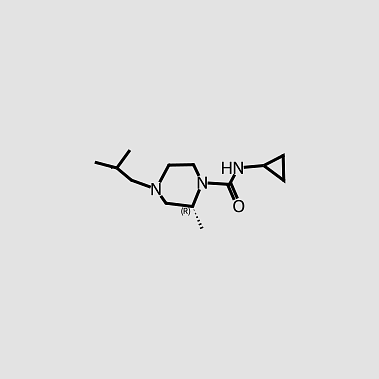 C[C](C)CN1CCN(C(=O)NC2CC2)[C@H](C)C1